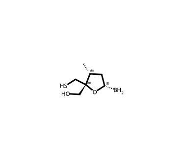 B[C@H]1C[C@@H](C)[C@@](CO)(CS)O1